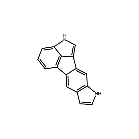 c1cc2c3c(c[nH]c3c1)-c1cc3[nH]ccc3cc1-2